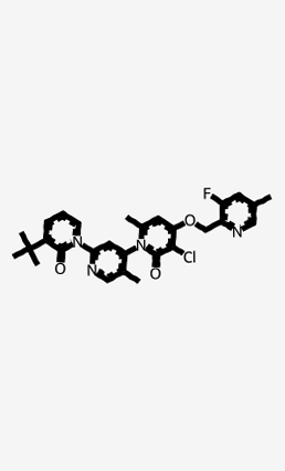 Cc1cnc(COc2cc(C)n(-c3cc(-n4cccc(C(C)(C)C)c4=O)ncc3C)c(=O)c2Cl)c(F)c1